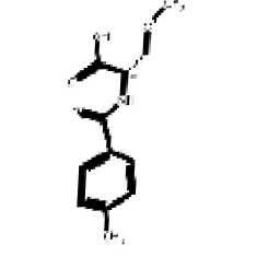 COC[C@H](NC(=O)c1ccc(C)cc1)C(=O)O